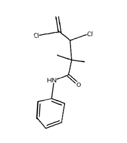 C=C(Cl)C(Cl)C(C)(C)C(=O)Nc1ccccc1